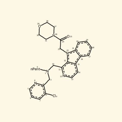 CCCCCN(Cc1ncccc1Cl)Cc1nccc2c3ccccc3n(CC(=O)N3CCOCC3)c12